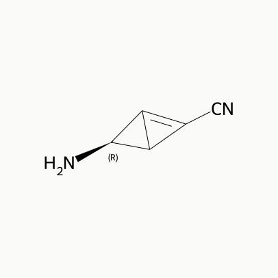 N#CC1=C2C1[C@H]2N